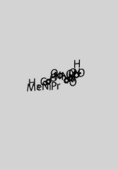 CNc1c(C)cc(COC(=O)N2CCC(Nc3cccc4c3C(=O)N(C3CCC(=O)NC3=O)C4=O)CC2)cc1C(C)C